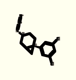 [N-]=[N+]=N[C@@H]1CC[C@@]2(c3cc(Cl)cc(Cl)c3)CC2C1